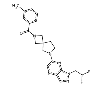 Cc1cccc(C(=O)N2CC3(CCN(c4cnc5cnn(CC(F)F)c5n4)C3)C2)c1